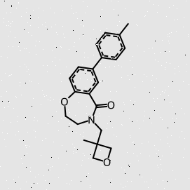 Cc1ccc(-c2ccc3c(c2)C(=O)N(CC2(C)COC2)CCO3)cc1